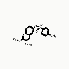 CC(=O)N[C@@H](Cc1cccc(OS(=O)(=O)c2ccc(C)cc2)c1)C(=O)OC(C)C